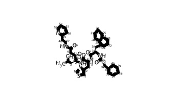 CC(C)C[C@H](NC(=O)C(Cc1cscn1)NC(=O)[C@H](Cc1cccc2ccccc12)NC(=O)OCc1ccccc1)[C@@H](O)CC(=O)NCCc1ccccn1